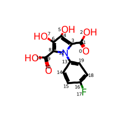 O=C(O)c1c(O)c(O)c(C(=O)O)n1-c1ccc(F)cc1